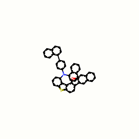 c1ccc2cc3c(cc2c1)oc1c3ccc2sc3cccc(N(c4ccc(-c5cccc6ccccc56)cc4)c4cccc5ccccc45)c3c21